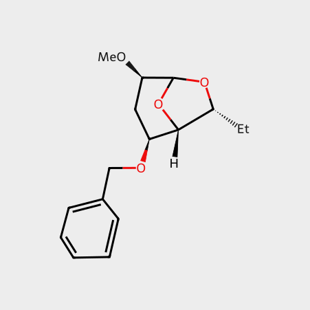 CC[C@H]1OC2O[C@H]1[C@@H](OCc1ccccc1)C[C@H]2OC